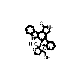 C[C@]1(n2c3ccccc3c3c4c(c5c6ccccc6[nH]c5c32)C(=O)NC4)OCC[C@]1(O)CO